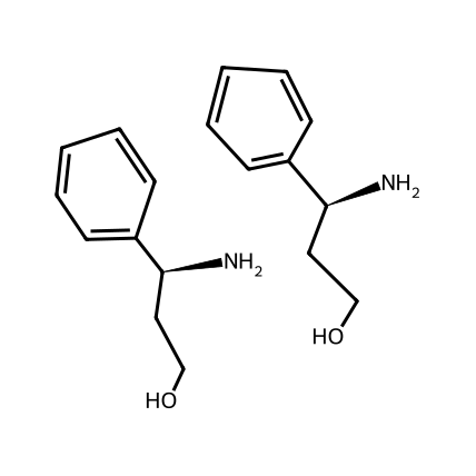 N[C@@H](CCO)c1ccccc1.N[C@@H](CCO)c1ccccc1